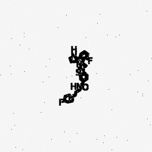 O=C(NCCCN1CCC(F)CC1)c1ccc2c(c1)sc1nc(-c3c(F)cccc3[C@H]3CCCN3)cn12